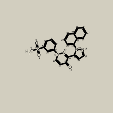 CS(=O)(=O)c1cccc(-n2ccc(=O)c(-c3ccnn3-c3cccc4ccccc34)n2)c1